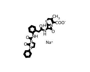 CC1=C(C(=O)[O-])N2C(=O)C(NC(=O)Cc3ccccc3NC(=O)N3CCN(c4ccccc4)C3=O)[C@H]2SC1.[Na+]